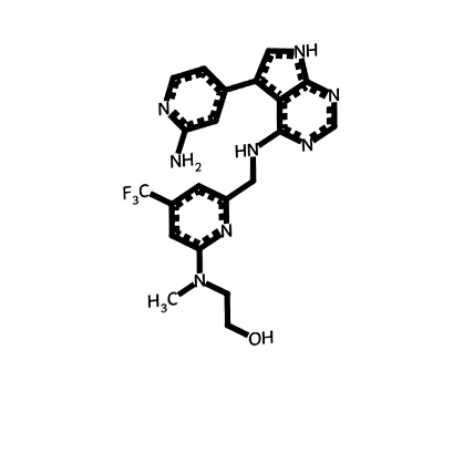 CN(CCO)c1cc(C(F)(F)F)cc(CNc2ncnc3[nH]cc(-c4ccnc(N)c4)c23)n1